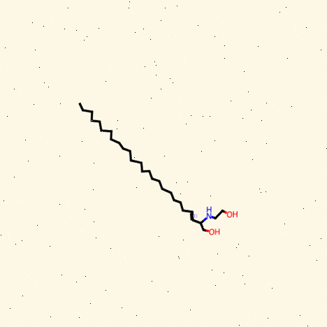 CCCCCCCCCCCCCCCCCCCCCC/C=C/C(CO)NCCO